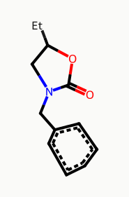 CCC1CN(Cc2ccccc2)C(=O)O1